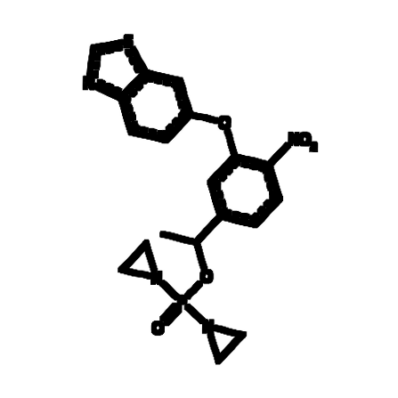 CC(OP(=O)(N1CC1)N1CC1)c1ccc([N+](=O)[O-])c(Oc2ccc3ncsc3c2)c1